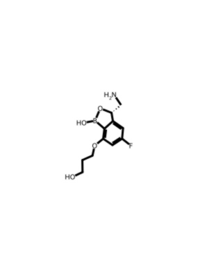 NC[C@H]1OB(O)c2c(OCCCO)cc(F)cc21